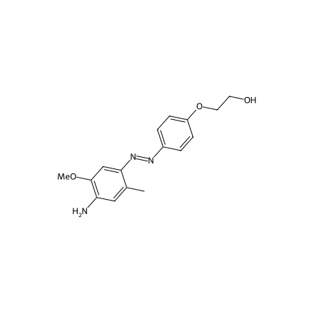 COc1cc(N=Nc2ccc(OCCO)cc2)c(C)cc1N